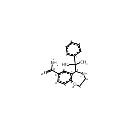 CC(C)(c1ccccc1)C1NCCOc2ccc(C(N)=O)cc21